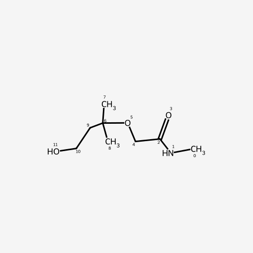 CNC(=O)COC(C)(C)CCO